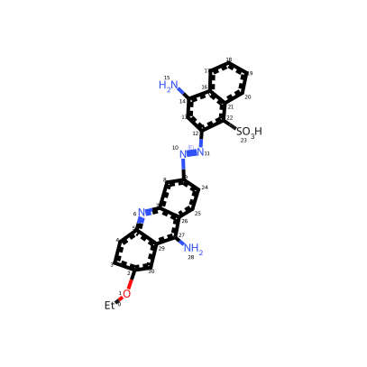 CCOc1ccc2nc3cc(/N=N/c4cc(N)c5ccccc5c4S(=O)(=O)O)ccc3c(N)c2c1